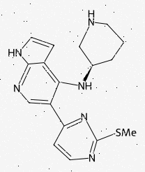 CSc1nccc(-c2cnc3[nH]ccc3c2N[C@@H]2CCCNC2)n1